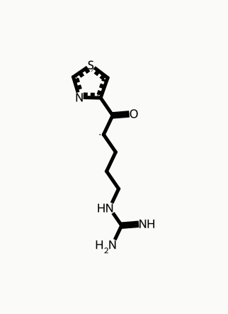 N=C(N)NCCC[CH]C(=O)c1cscn1